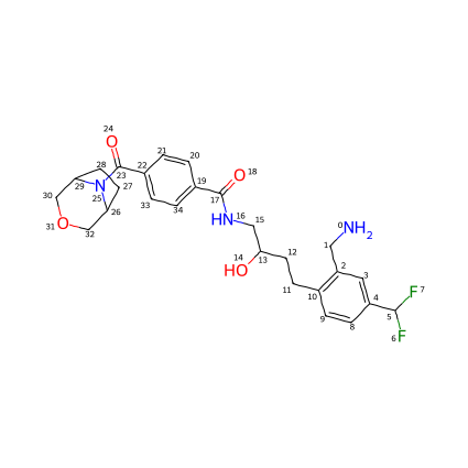 NCc1cc(C(F)F)ccc1CCC(O)CNC(=O)c1ccc(C(=O)N2C3CCC2COC3)cc1